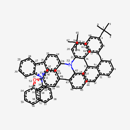 CC(C)(C)c1cc(-c2cccc3cccc(-c4ccccc4N(c4ccc5c6ccccc6n(-c6ccccc6)c5c4)c4ccccc4-c4ccc5oc6ccccc6c5c4)c23)cc(C(C)(C)C)c1